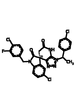 CC(c1ccc(Cl)cc1)n1nnc2c1NC(=O)C[C@]21C(=O)N(Cc2ccc(Cl)c(F)c2)c2ccc(Cl)cc21